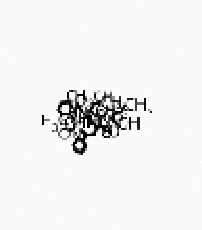 CCCCC(NC(=O)C(Cc1cn(C(=O)OC)c2ccccc12)NC(=O)C(CC(C)(C)C)NC(=O)N1[C@H](C)CCC[C@@H]1C)C(=O)O